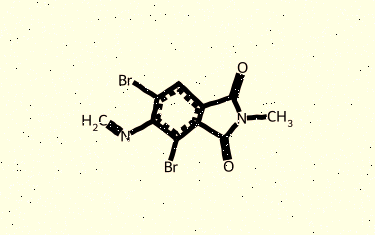 C=Nc1c(Br)cc2c(c1Br)C(=O)N(C)C2=O